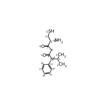 CC(C)N(C(=O)CC(=O)[C@@H](N)CS)c1ccccc1